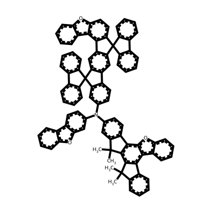 CC1(C)c2cc(N(c3ccc4c(c3)C3(c5ccccc5-c5ccccc53)c3cc5c(cc3-4)C3(c4ccccc4-c4ccccc43)c3ccc4oc6ccccc6c4c3-5)c3ccc4c(c3)oc3ccccc34)ccc2-c2c1c1c(c3c2oc2ccccc23)-c2ccccc2C1(C)C